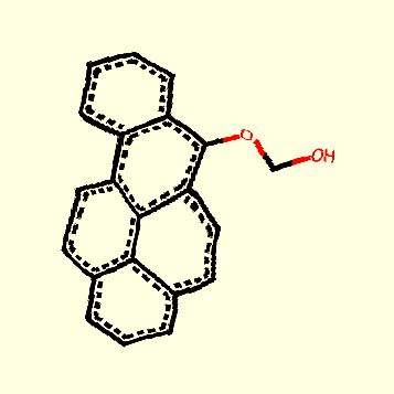 OCOc1c2ccccc2c2ccc3cccc4ccc1c2c43